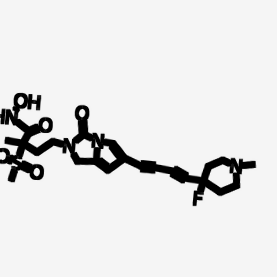 CN1CCC(F)(C#CC#Cc2cc3n(c2)C(=O)N(CCC(C)(C(=O)NO)S(C)(=O)=O)C3)CC1